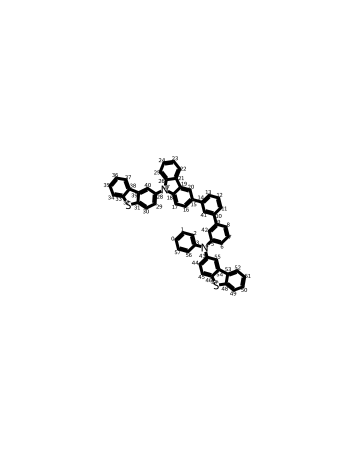 c1ccc(N(c2cccc(-c3cccc(-c4ccc5c(c4)c4ccccc4n5-c4ccc5sc6ccccc6c5c4)c3)c2)c2ccc3sc4ccccc4c3c2)cc1